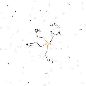 CCC[PH](CCC)(CCC)Cc1ccccc1